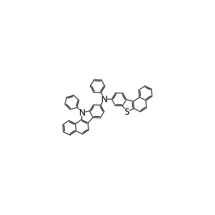 c1ccc(N(c2ccc3c(c2)sc2ccc4ccccc4c23)c2ccc3c4ccc5ccccc5c4n(-c4ccccc4)c3c2)cc1